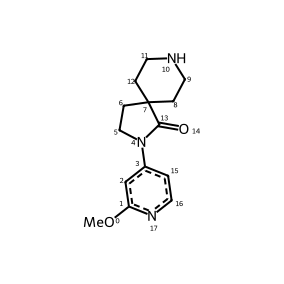 COc1cc(N2CCC3(CCNCC3)C2=O)ccn1